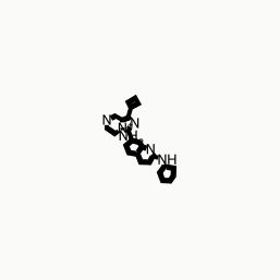 N[N+]12C=CN=CC1=C(C1=CC=C1)N=C2c1ccc2ccc(Nc3ccccc3)nc2c1